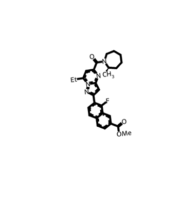 CCc1cc(C(=O)N2CCCCC[C@H]2C)nc2cc(-c3ccc4ccc(C(=O)OC)cc4c3F)nn12